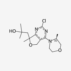 C[C@H]1COCCN1c1nc(Cl)nc2c1COC2(C)CC(C)(C)O